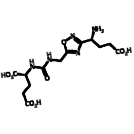 N[C@@H](CCC(=O)O)c1noc(CNC(=O)N[C@@H](CCC(=O)O)C(=O)O)n1